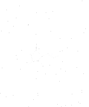 Cc1c(/C=C/Cl)c(C(F)(F)F)nn1C